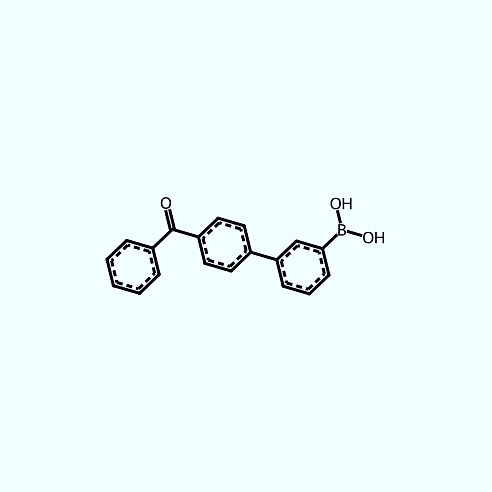 O=C(c1ccccc1)c1ccc(-c2cccc(B(O)O)c2)cc1